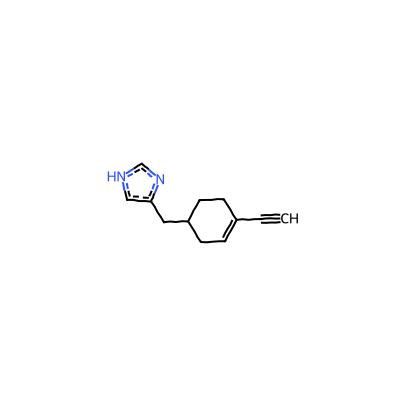 C#CC1=CCC(Cc2c[nH]cn2)CC1